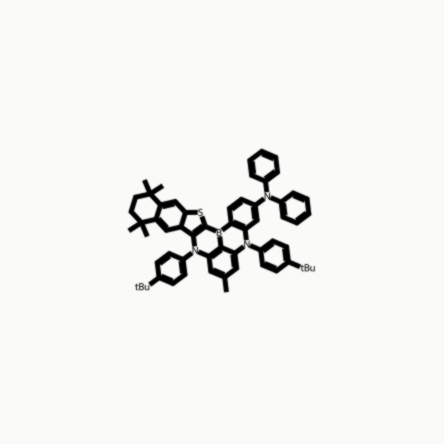 Cc1cc2c3c(c1)N(c1ccc(C(C)(C)C)cc1)c1cc(N(c4ccccc4)c4ccccc4)ccc1B3C1=C(C3C=C4C(=CC3S1)C(C)(C)CCC4(C)C)N2c1ccc(C(C)(C)C)cc1